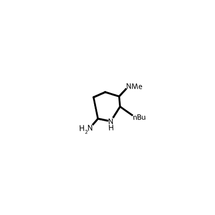 CCCCC1NC(N)CCC1NC